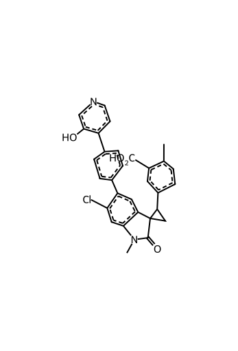 Cc1ccc(C2CC23C(=O)N(C)c2cc(Cl)c(-c4ccc(-c5ccncc5O)cc4)cc23)cc1C(=O)O